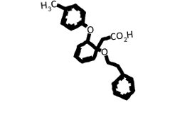 Cc1ccc(OC2C=CC=CC2(CC(=O)O)OCCc2ccccc2)cc1